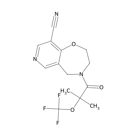 CC(C)(OC(F)(F)F)C(=O)N1CCOc2c(C#N)cncc2C1